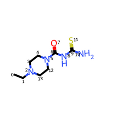 CCN1CCN(C(=O)NC(N)=S)CC1